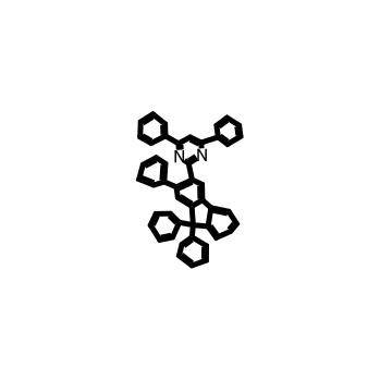 c1ccc(-c2cc(-c3ccccc3)nc(-c3cc4c(cc3-c3ccccc3)C(c3ccccc3)(c3ccccc3)c3ccccc3-4)n2)cc1